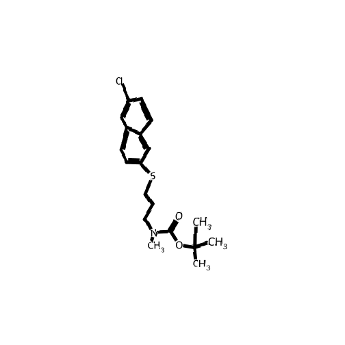 CN(CCCSc1ccc2cc(Cl)ccc2c1)C(=O)OC(C)(C)C